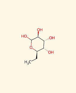 CC[C@H]1OC(O)[C@@H](O)[C@H](O)[C@@H]1O